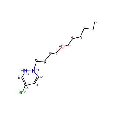 CCCCCCOCCCCN1C=CC(Br)=CN1